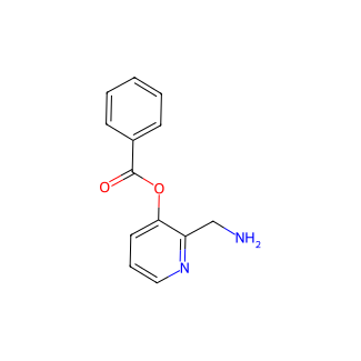 NCc1ncccc1OC(=O)c1ccccc1